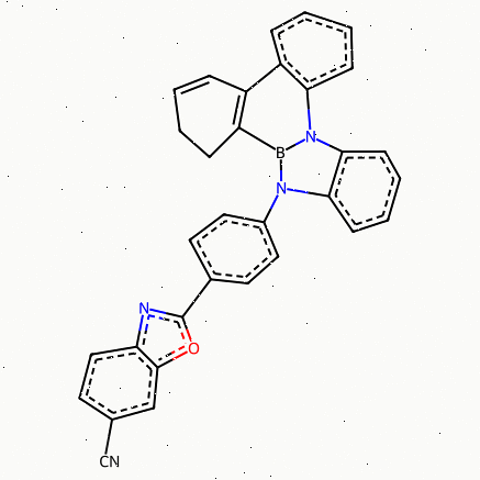 N#Cc1ccc2nc(-c3ccc(N4B5C6=C(C=CCC6)c6ccccc6N5c5ccccc54)cc3)oc2c1